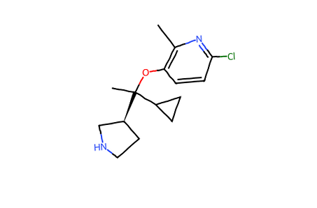 Cc1nc(Cl)ccc1OC(C)(C1CC1)[C@H]1CCNC1